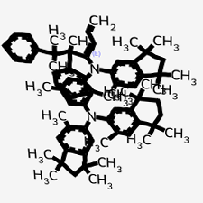 C=C/C=C(/N(c1cc2c(cc1C)C(C)(C)CC2(C)C)c1cc(C)cc(N(c2cc3c(cc2C)C(C)(C)CCC3(C)C)c2cc3c(cc2C)C(C)(C)CC3(C)C)c1C)C(C)(c1ccccc1)C(C)(C)c1ccccc1